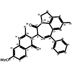 COc1ccc2c(=O)n(C3N=C(c4ccccc4)c4cc(C)cc5c4N(CC5)C3=O)c(C)nc2c1